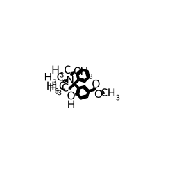 CCC(c1ccccc1)(c1cc(C(=O)OC)ccc1O)N(C(C)C)C(C)C